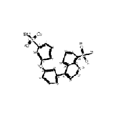 CCS(=O)(=O)c1cccc(Oc2cccc(-c3ccnc4c(S(C)(=O)=O)cccc34)c2)c1